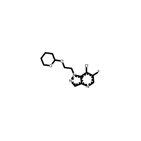 Fc1cnc2cnn(CCOC3CCCCO3)c2c1Cl